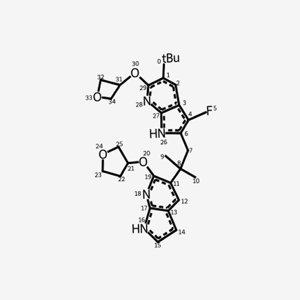 CC(C)(C)c1cc2c(F)c(CC(C)(C)c3cc4cc[nH]c4nc3OC3CCOC3)[nH]c2nc1OC1COC1